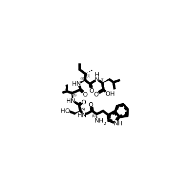 CC[C@H](C)[C@H](NC(=O)[C@@H](NC(=O)[C@H](CO)NC(=O)[C@@H](N)Cc1c[nH]c2ccccc12)C(C)C)C(=O)N[C@@H](CC(C)C)C(=O)O